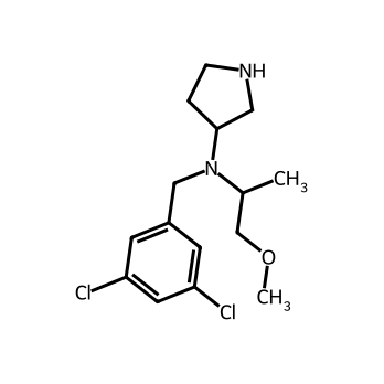 COCC(C)N(Cc1cc(Cl)cc(Cl)c1)C1CCNC1